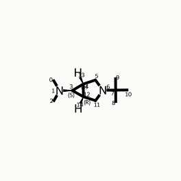 CN(C)[C@H]1[C@@H]2CN(C(C)(C)C)C[C@@H]21